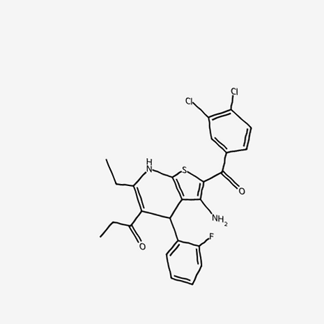 CCC(=O)C1=C(CC)Nc2sc(C(=O)c3ccc(Cl)c(Cl)c3)c(N)c2C1c1ccccc1F